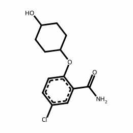 NC(=O)c1cc(Cl)ccc1OC1CCC(O)CC1